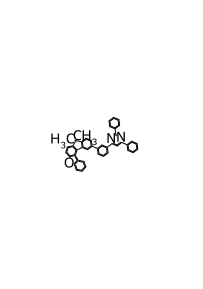 CC1(C)c2ccc(-c3cccc(-c4cc(-c5ccccc5)nc(-c5ccccc5)n4)c3)cc2-c2c1ccc1oc3ccccc3c21